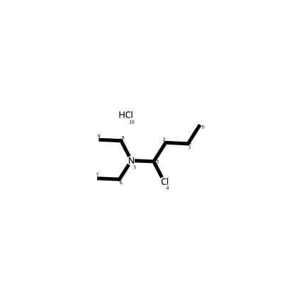 C[CH]CC(Cl)N(CC)CC.Cl